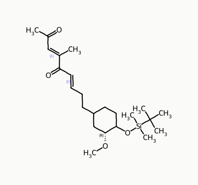 CO[C@@H]1CC(CC/C=C/C(=O)/C(C)=C/C(C)=O)CCC1O[Si](C)(C)C(C)(C)C